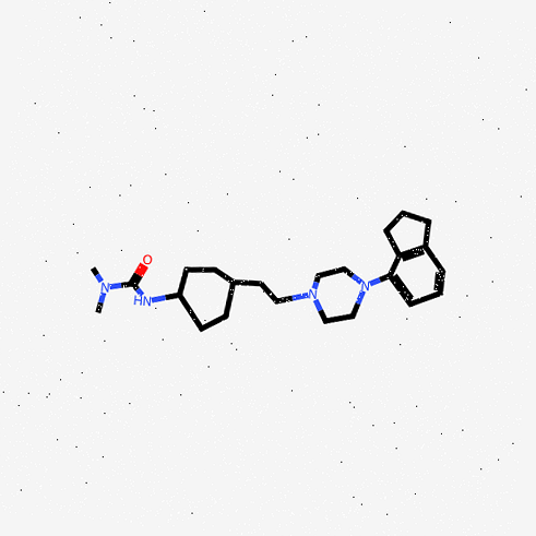 CN(C)C(=O)NC1CCC(CCN2CCN(c3cccc4c3CCC4)CC2)CC1